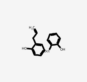 C=CCc1ccccc1O.CCCCCCCCc1ccccc1O